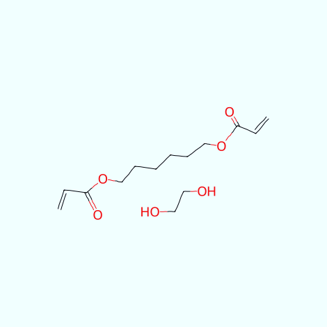 C=CC(=O)OCCCCCCOC(=O)C=C.OCCO